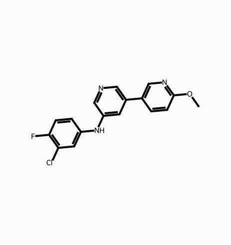 COc1ccc(-c2cncc(Nc3ccc(F)c(Cl)c3)c2)cn1